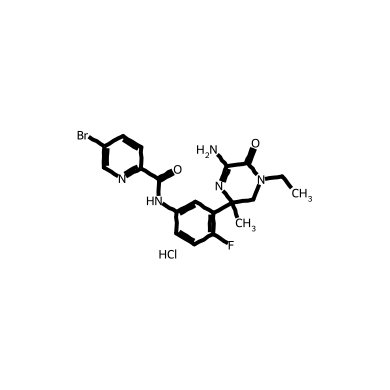 CCN1CC(C)(c2cc(NC(=O)c3ccc(Br)cn3)ccc2F)N=C(N)C1=O.Cl